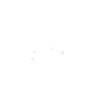 N#CC(C#N)CCSc1nccnc1Cl